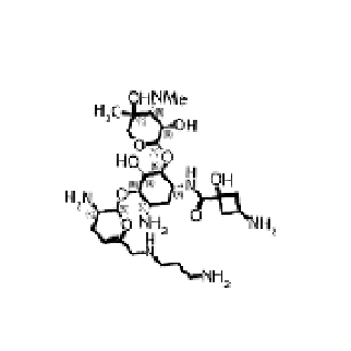 CN[C@@H]1[C@@H](O)[C@@H](O[C@@H]2[C@@H](O)[C@H](O[C@H]3OC(CNCCCN)=CC[C@H]3N)[C@@H](N)C[C@H]2NC(=O)C2(O)CC(N)C2)OC[C@]1(C)O